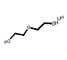 OCCOCCO.[LiH]